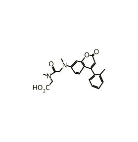 Cc1ccccc1-c1cc(=O)oc2cc(N(C)CC(=O)N(C)CC(=O)O)ccc12